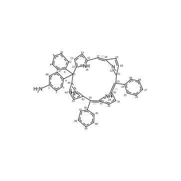 Nc1ccc(C2(c3ccccc3)c3ccc([nH]3)/C=C3/C=CC(=N3)/C(c3ccccc3)=c3/cc/c([nH]3)=C(\c3ccccc3)c3ccc2[nH]3)cc1